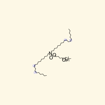 CCCCC/C=C\C/C=C\CCCCCCCCN(CCCCCCCC/C=C\C/C=C\CCCCC)C(=O)OCCCCO[Si](C)(C)C(C)(C)C